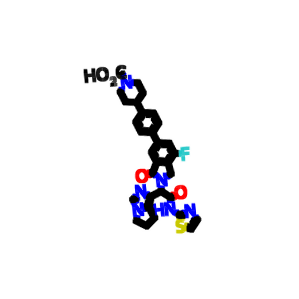 O=C(Nc1nccs1)C(c1ncn2c1CCC2)N1Cc2c(F)cc(-c3ccc(C4CCN(C(=O)O)CC4)cc3)cc2C1=O